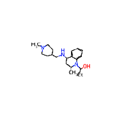 CCC(O)N1c2ccccc2C(NCC2CCN(C)CC2)CC1C